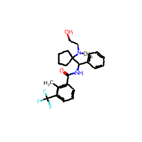 Cc1c(C(=O)NC(c2ccccc2)C2(N(C)CCO)CCCC2)cccc1C(F)(F)F